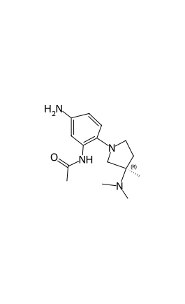 CC(=O)Nc1cc(N)ccc1N1CC[C@@](C)(N(C)C)C1